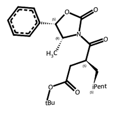 CCC[C@H](C)C[C@@H](CC(=O)OC(C)(C)C)C(=O)N1C(=O)O[C@@H](c2ccccc2)[C@H]1C